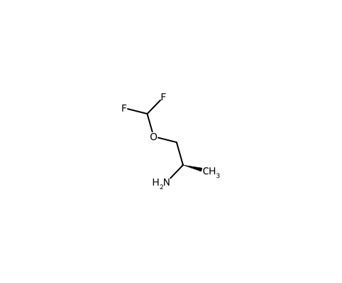 C[C@@H](N)COC(F)F